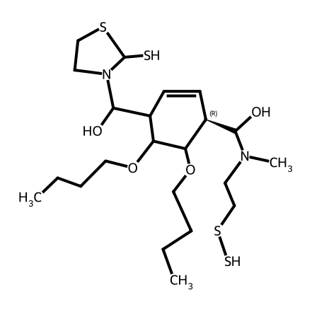 CCCCOC1C(C(O)N2CCSC2S)C=C[C@@H](C(O)N(C)CCSS)C1OCCCC